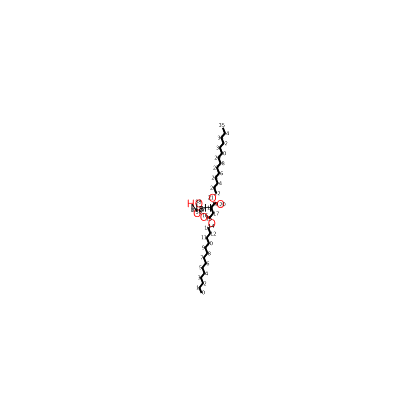 CCCCCCCCCCCCCCOC(=O)CCC(=O)OCCCCCCCCCCCCCC.O=CO.[NaH]